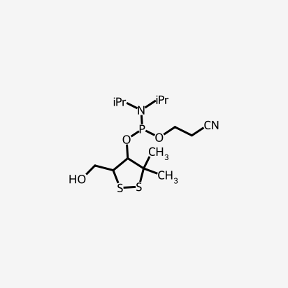 CC(C)N(C(C)C)P(OCCC#N)OC1C(CO)SSC1(C)C